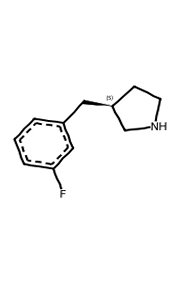 Fc1cccc(C[C@H]2CCNC2)c1